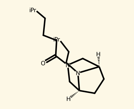 CC(C)CCCC(=O)N1C[C@H]2CC[C@@H](C1)N2CCC(C)C